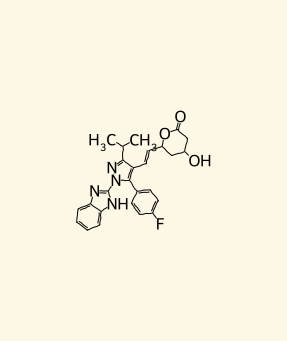 CC(C)c1nn(-c2nc3ccccc3[nH]2)c(-c2ccc(F)cc2)c1/C=C/C1CC(O)CC(=O)O1